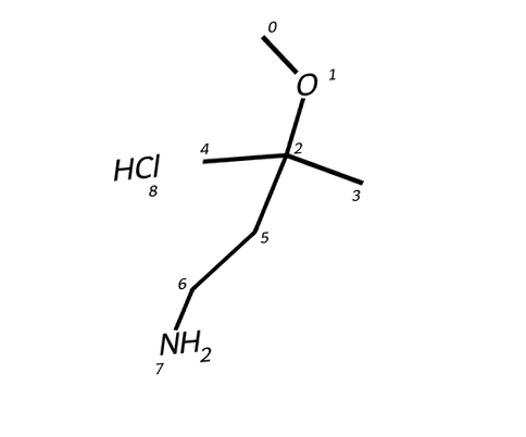 COC(C)(C)CCN.Cl